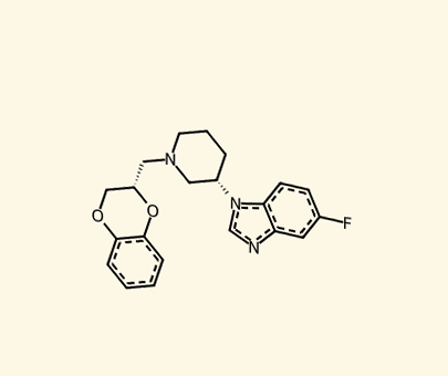 Fc1ccc2c(c1)ncn2[C@H]1CCCN(C[C@H]2COc3ccccc3O2)C1